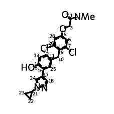 CNC(=O)COc1cc(Cl)c(Cc2ccc(O)c(-c3cnn(C4CC4)c3)c2)c(Cl)c1